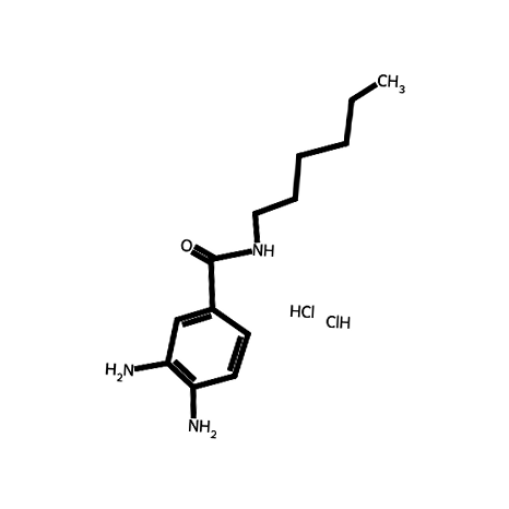 CCCCCCNC(=O)c1ccc(N)c(N)c1.Cl.Cl